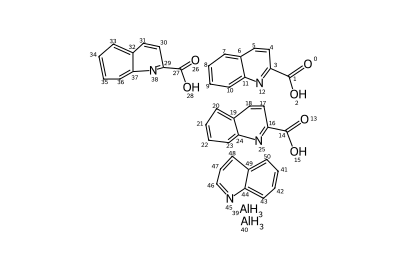 O=C(O)c1ccc2ccccc2n1.O=C(O)c1ccc2ccccc2n1.O=C(O)c1ccc2ccccc2n1.[AlH3].[AlH3].c1ccc2ncccc2c1